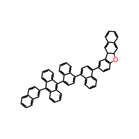 C1=c2ccccc2=CC2c3cc(-c4ccc(-c5ccc(-c6c7ccccc7c(-c7ccc8ccccc8c7)c7ccccc67)c6ccccc56)c5ccccc45)ccc3OC12